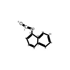 O=C=Nc1cc[c]c2ccccc12